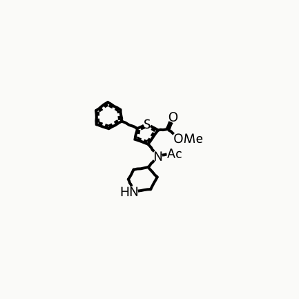 COC(=O)c1sc(-c2ccccc2)cc1N(C(C)=O)C1CCNCC1